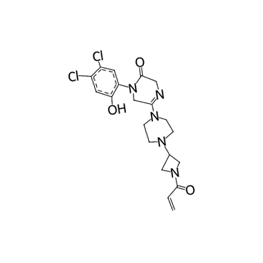 C=CC(=O)N1CC(N2CCN(C3=NCC(=O)N(c4cc(Cl)c(Cl)cc4O)C3)CC2)C1